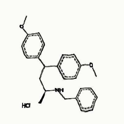 COc1ccc(C(C[C@H](C)NCc2ccccc2)c2ccc(OC)cc2)cc1.Cl